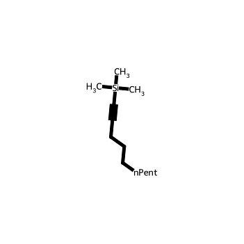 CCCCCCCCC#C[Si](C)(C)C